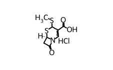 CSC1S[C@@H]2CC(=O)N2C=C1C(=O)O.Cl